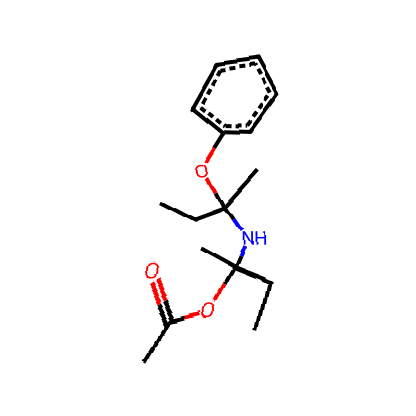 CCC(C)(NC(C)(CC)Oc1ccccc1)OC(C)=O